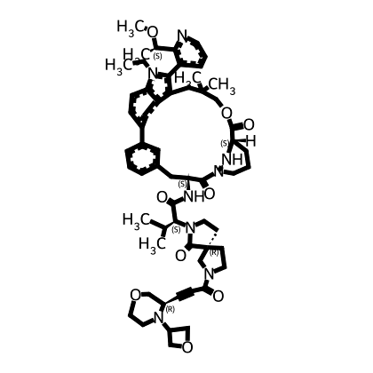 CCn1c(-c2cccnc2[C@H](C)OC)c2c3cc(ccc31)-c1cccc(c1)C[C@H](NC(=O)[C@H](C(C)C)N1CC[C@@]3(CCN(C(=O)C#C[C@@H]4COCCN4C4COC4)C3)C1=O)C(=O)N1CCC[C@H](N1)C(=O)OCC(C)(C)C2